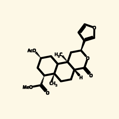 COC(=O)[C@@H]1C[C@H](OC(C)=O)CC2[C@@]1(C)CC[C@H]1C(=O)O[C@H](c3ccoc3)C[C@]21C